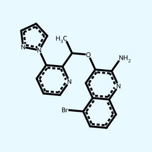 CC(Oc1cc2c(Br)cccc2nc1N)c1ncccc1-n1cccn1